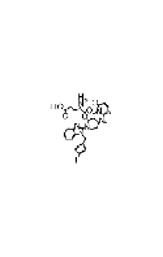 CN(c1nccc(=O)n1COC(=O)C(N)CCC(=O)O)C1CCN(c2nc3ccccc3n2Cc2ccc(F)cc2)CC1